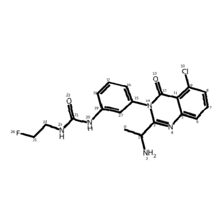 CC(N)c1nc2cccc(Cl)c2c(=O)n1-c1cccc(NC(=O)NCCF)c1